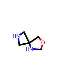 [CH]1NCC12COCN2